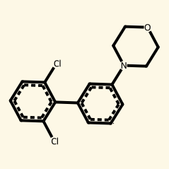 Clc1cccc(Cl)c1-c1c[c]cc(N2CCOCC2)c1